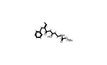 C/C=C(\Cc1ccccc1)C(=O)CC(O)CCNC(=O)OC(C)(C)C